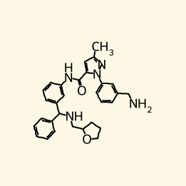 Cc1cc(C(=O)Nc2cccc(C(NCC3CCCO3)c3ccccc3)c2)n(-c2cccc(CN)c2)n1